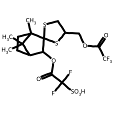 CC1(C)C2CCC1(C)C1(SCC(COC(=O)C(F)(F)F)S1)C2OC(=O)C(F)(F)S(=O)(=O)O